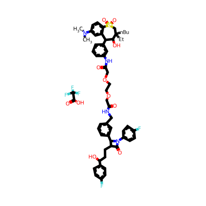 CCCCC1(CC)CS(=O)(=O)c2ccc(N(C)C)cc2C(c2cccc(NC(=O)COCCOCC(=O)NCc3cccc(C4C(CCC(O)c5ccc(F)cc5)C(=O)N4c4ccc(F)cc4)c3)c2)C1O.O=C(O)C(F)(F)F